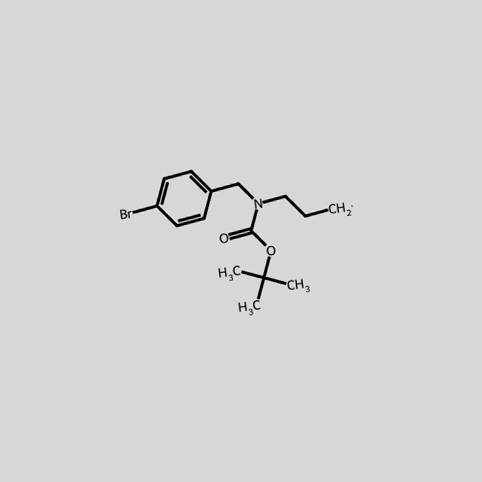 [CH2]CCN(Cc1ccc(Br)cc1)C(=O)OC(C)(C)C